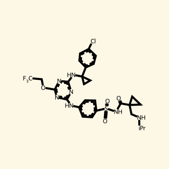 CC(C)NCC1(C(=O)NS(=O)(=O)c2ccc(Nc3nc(NC4(c5ccc(Cl)cc5)CC4)nc(OCC(F)(F)F)n3)cc2)CC1